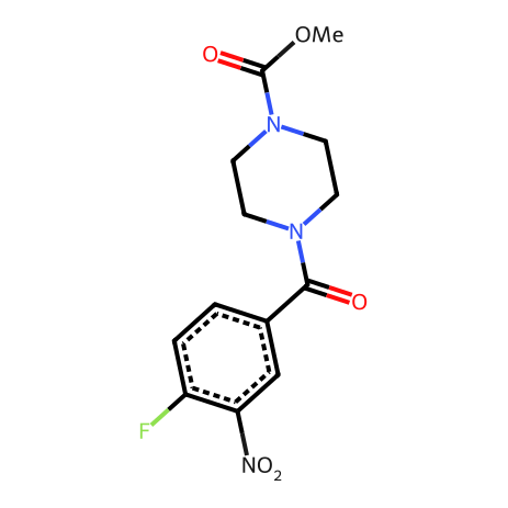 COC(=O)N1CCN(C(=O)c2ccc(F)c([N+](=O)[O-])c2)CC1